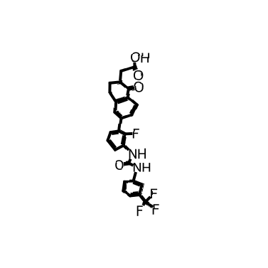 O=C(O)CC1CCc2cc(-c3cccc(NC(=O)Nc4cccc(C(F)(F)F)c4)c3F)ccc2C1=O